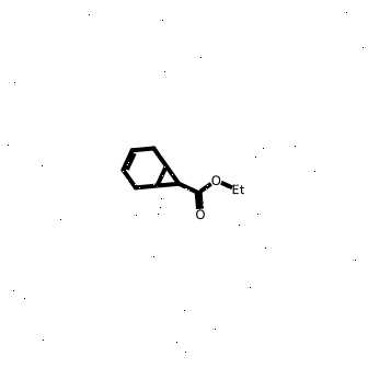 CCOC(=O)C1C2CC=CCC21